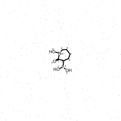 O=C1C(P(O)O)CCCCN1O